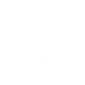 C=Cc1c(C=C=C(C)C(=O)Cl)c2ccccc2c2ccccc12